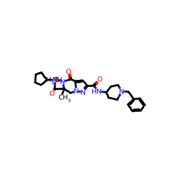 CN1C(=O)c2cc(C(=O)NC3CCN(Cc4ccccc4)CC3)nn2CC1(C)C(=O)NC1CCCC1